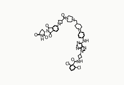 O=C1CC[C@H](N2C(=O)c3ccc(N4CC(C(=O)N5CCN(CC6CCN(c7ccc(Nc8ncnc9c8ncn9C8CC(NC(=O)c9c(Cl)cccc9Cl)C8)cc7)CC6)CC5)C4)cc3C2=O)C(=O)N1